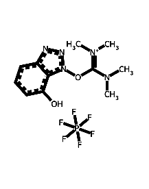 CN(C)C(On1nnc2cccc(O)c21)=[N+](C)C.F[P-](F)(F)(F)(F)F